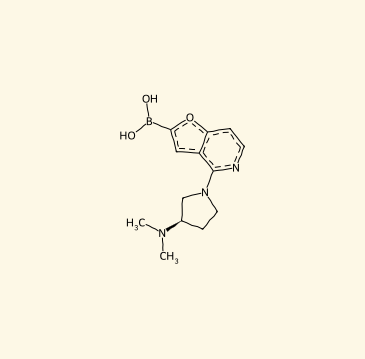 CN(C)[C@@H]1CCN(c2nccc3oc(B(O)O)cc23)C1